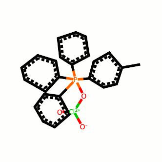 Cc1ccc(P(O[Cl+2]([O-])[O-])(c2ccccc2)(c2ccccc2)c2ccccc2)cc1